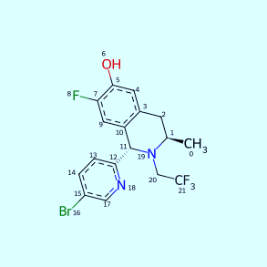 C[C@@H]1Cc2cc(O)c(F)cc2[C@@H](c2ccc(Br)cn2)N1CC(F)(F)F